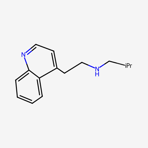 CC(C)CNCCc1ccnc2ccccc12